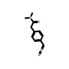 CN(C)C(=O)Cc1ccc(C=[N+]=[N-])cc1